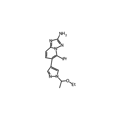 CCOC(C)n1cc(-c2ccc3nc(N)nn3c2C(C)C)cn1